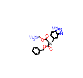 NCOC(=O)[C@H](Cc1ccc2[nH]nnc2c1)C(=O)OCc1ccccc1